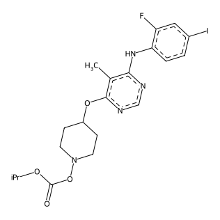 Cc1c(Nc2ccc(I)cc2F)ncnc1OC1CCN(OC(=O)OC(C)C)CC1